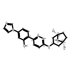 Oc1cc(-n2ccnc2)ccc1-c1ccc(OC2C[C@H]3CC[C@@H](C2)N3)nn1